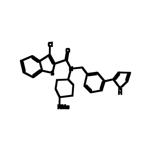 CNC1CCC(N(Cc2cccc(-c3ccc[nH]3)c2)C(=O)c2sc3ccccc3c2Cl)CC1